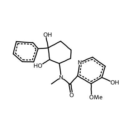 COc1c(O)ccnc1C(=O)N(C)C1CCCC(O)(c2ccccc2)C1O